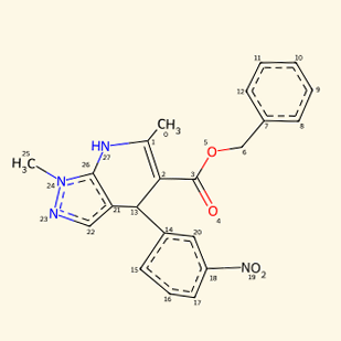 CC1=C(C(=O)OCc2ccccc2)C(c2cccc([N+](=O)[O-])c2)c2cnn(C)c2N1